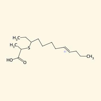 CCC/C=C/CCCCC(CC)SC(C)C(=O)O